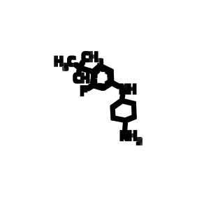 CC(C)(C)c1ccc(NC2CCC(N)CC2)cc1F